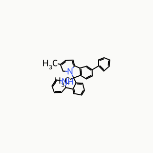 CC1=CC=C2c3cc(-c4ccccc4)ccc3C(C)(c3ccccc3C3C=CC=CN3)N2C1